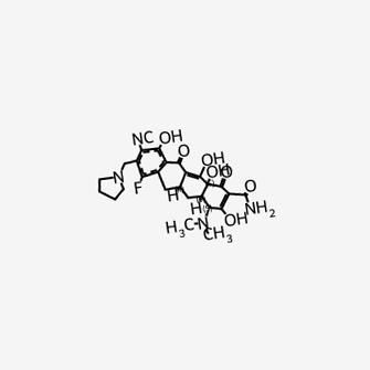 [C-]#[N+]c1c(O)c2c(c(F)c1CN1CCCC1)C[C@H]1C[C@H]3[C@H](N(C)C)C(O)=C(C(N)=O)C(=O)[C@@]3(O)C(O)=C1C2=O